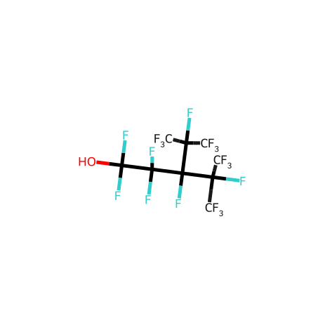 OC(F)(F)C(F)(F)C(F)(C(F)(C(F)(F)F)C(F)(F)F)C(F)(C(F)(F)F)C(F)(F)F